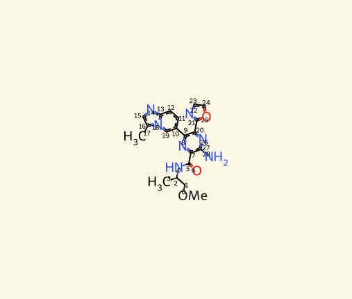 COC[C@@H](C)NC(=O)c1nc(-c2ccc3ncc(C)n3c2)c(-c2ncco2)nc1N